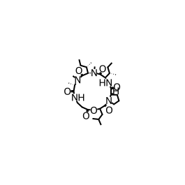 CC[C@H](C)[C@@H]1NC(=O)[C@@H]2CCCN2C(=O)C(CC(C)C)OC(=O)CCNC(=O)[C@H](C)N(C)C(=O)[C@H]([C@@H](C)CC)N(C)C1=O